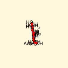 CC(=O)NC(C(O)OCCOCCN/C=C(/CNC/C(=C/NCCOCCOC(O)C(N)C(O)C(O)CCO)NN)N=N)C(O)C(O)CCO